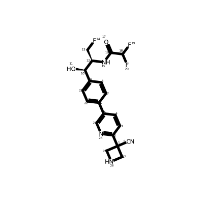 N#CC1(c2ccc(-c3ccc([C@@H](O)[C@@H](CF)NC(=O)C(F)F)cc3)cn2)CNC1